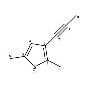 CC#Cc1cc(C)sc1C